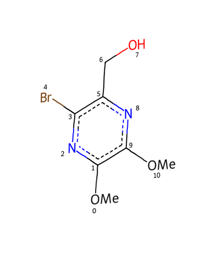 COc1nc(Br)c(CO)nc1OC